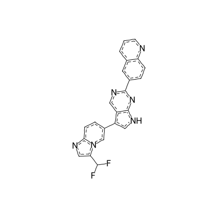 FC(F)c1cnc2ccc(-c3c[nH]c4nc(-c5ccc6ncccc6c5)ncc34)cn12